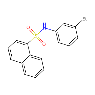 CCc1cccc(NS(=O)(=O)c2cccc3ccccc23)c1